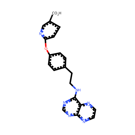 O=C(O)c1ccc(Oc2ccc(CCNc3ncnc4nccnc34)cc2)nc1